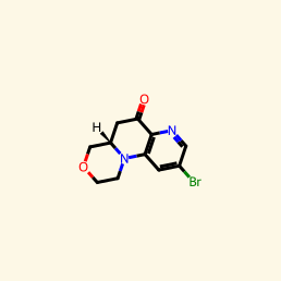 O=C1C[C@H]2COCCN2c2cc(Br)cnc21